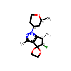 C[C@H]1C[C@@H](n2nc(C(F)(F)F)c3c2[C@H](C)[C@@H](F)C32OCCO2)CCO1